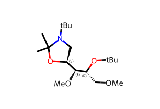 COC[C@@H](OC(C)(C)C)[C@@H](OC)[C@@H]1CN(C(C)(C)C)C(C)(C)O1